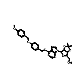 COc1ccc(COc2ccc(CSc3ncnc4c3ncn4C3OC(CO)C4OC(C)(C)OC43)cc2)cc1